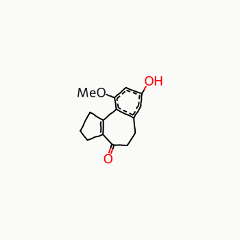 COc1cc(O)cc2c1C1=C(CCC1)C(=O)CC2